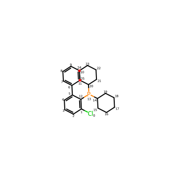 Clc1cccc(-c2ccccc2)c1P(C1CCCCC1)C1CCCCC1